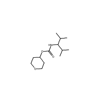 CC(C)C(NC(=O)OC1CCOCC1)C(C)C